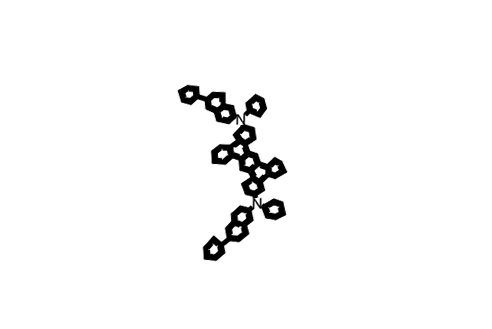 c1ccc(-c2ccc3cc(N(c4ccccc4)c4ccc5c(c4)c4ccccc4c4cc6c7ccc(N(c8ccccc8)c8ccc9cc(-c%10ccccc%10)ccc9c8)cc7c7ccccc7c6cc54)ccc3c2)cc1